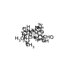 CC1CN(C)CC(C)N1c1cc(NC(=O)Cn2cc(-c3cc(C=O)c(O)c(F)c3F)c3c(=O)n4c(nc32)CCC4)c(Cl)cn1